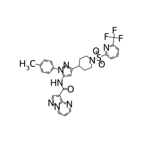 Cc1ccc(-n2nc(C3CCN(S(=O)(=O)c4cccc(C(F)(F)F)n4)CC3)cc2NC(=O)c2cnn3cccnc23)cc1